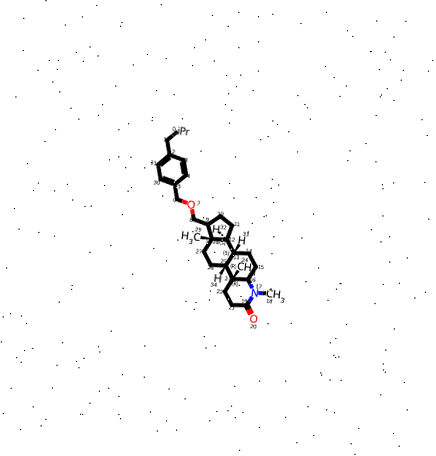 CC(C)Cc1ccc(COCC2CC[C@H]3[C@@H]4CCC5N(C)C(=O)CC[C@]5(C)[C@@H]4CC[C@]23C)cc1